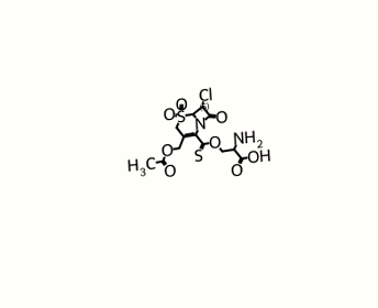 CC(=O)OCC1=C(C(=S)OCC(N)C(=O)O)N2C(=O)[C@H](Cl)C2S(=O)(=O)C1